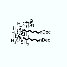 C=CP(=O)([O-])[O-].CCCCCCCCCCCCCCCC[N+](C)(C)C.CCCCCCCCCCCCCCCC[N+](C)(C)C